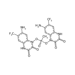 CP(=O)(On1c(=O)c(=O)[nH]c2cc(C(F)(F)F)c(N)cc21)On1c(=O)c(=O)[nH]c2cc(C(F)(F)F)c(N)cc21